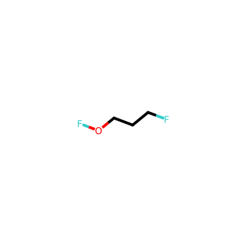 FCCCOF